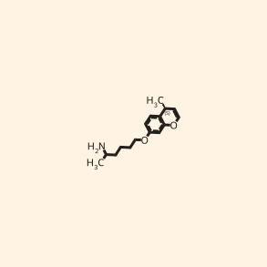 CC(N)CCCCOc1ccc2c(c1)OC=C[C@@H]2C